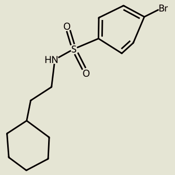 O=S(=O)(NCCC1CCCCC1)c1ccc(Br)cc1